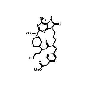 CCCCOc1nc(N)c2[nH]c(=O)n(CCCN(Cc3ccc(CC(=O)OC)cc3)C(=O)CN(CCO)C3CCCCC3)c2n1